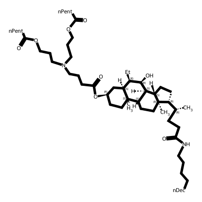 CCCCCCCCCCCCCCNC(=O)CC[C@@H](C)[C@H]1CC[C@H]2[C@@H]3[C@H](O)[C@H](CC)[C@@H]4C[C@H](OC(=O)CCCN(CCCOC(=O)CCCCC)CCCOC(=O)CCCCC)CC[C@]4(C)[C@H]3CC[C@]12C